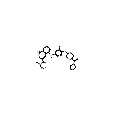 CON(C)C(=O)C1=Cc2c(ncnc2Nc2ccc(OC3CCN(C(=O)C4CCCC4)CC3)c(Cl)c2)NCC1